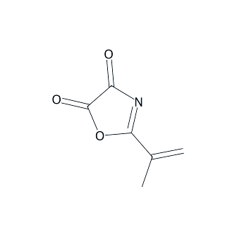 C=C(C)C1=NC(=O)C(=O)O1